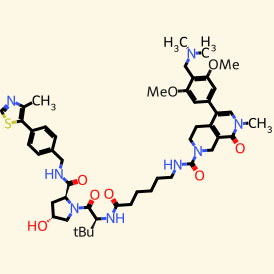 COc1cc(-c2cn(C)c(=O)c3c2CCN(C(=O)NCCCCCC(=O)N[C@H](C(=O)N2C[C@H](O)C[C@H]2C(=O)NCc2ccc(-c4scnc4C)cc2)C(C)(C)C)C3)cc(OC)c1CN(C)C